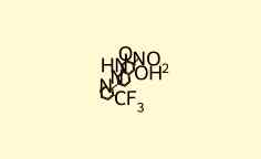 O=c1[nH]c2nc(-c3ncccc3C(F)(F)F)ccc2c(O)c1[N+](=O)[O-]